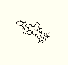 COC(=O)C(CSc1cccc(C(OC2CCN(C)CC2)c2nc3ccccc3[nH]2)c1)NC(=O)OC(C)(C)C